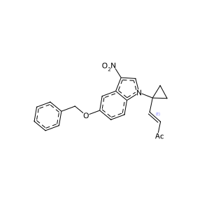 CC(=O)/C=C/C1(n2cc([N+](=O)[O-])c3cc(OCc4ccccc4)ccc32)CC1